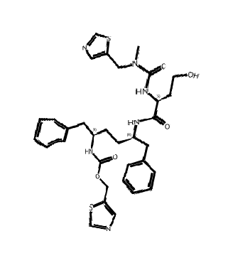 CN(Cc1cncs1)C(=O)N[C@@H](CCO)C(=O)N[C@H](CC[C@H](Cc1ccccc1)NC(=O)OCc1cncs1)Cc1ccccc1